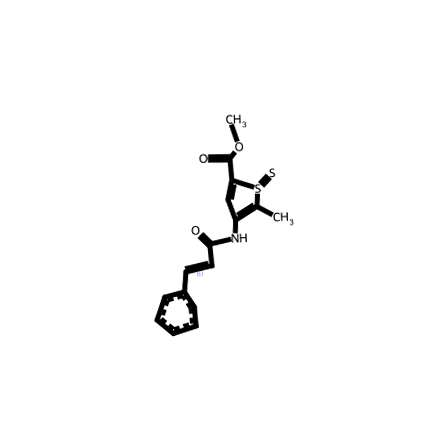 COC(=O)C1=CC(NC(=O)/C=C/c2ccccc2)=C(C)S1=S